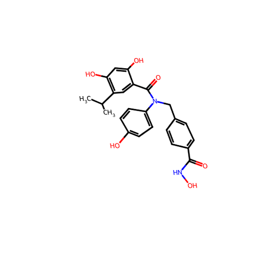 CC(C)c1cc(C(=O)N(Cc2ccc(C(=O)NO)cc2)c2ccc(O)cc2)c(O)cc1O